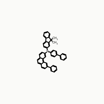 CC1(C)c2ccccc2-c2ccc(N(c3ccc(-c4ccccc4)cc3)c3ccc4ccc5ccc(-c6ccccc6)cc5c4c3)cc21